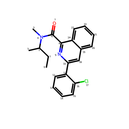 CCC(C)N(C)C(=O)c1nc(-c2ccccc2Cl)cc2ccccc12